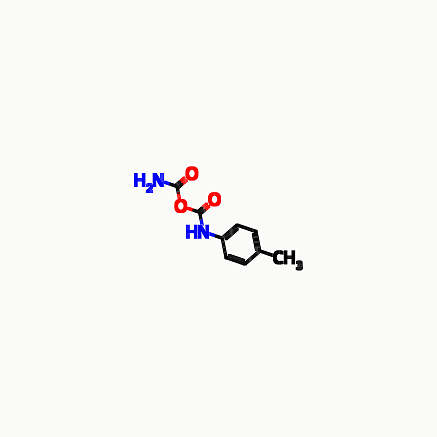 Cc1ccc(NC(=O)OC(N)=O)cc1